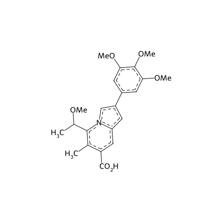 COc1cc(-c2cc3cc(C(=O)O)c(C)c(C(C)OC)n3c2)cc(OC)c1OC